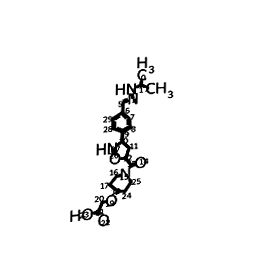 CC(C)NN=Cc1ccc(C2CC(C(=O)N3CCC(OCC(=O)O)CC3)ON2)cc1